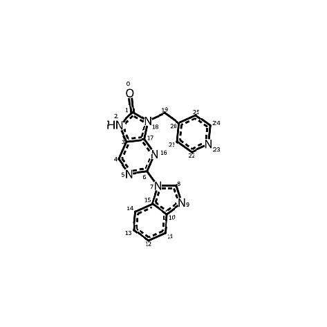 O=c1[nH]c2cnc(-n3cnc4ccccc43)nc2n1Cc1ccncc1